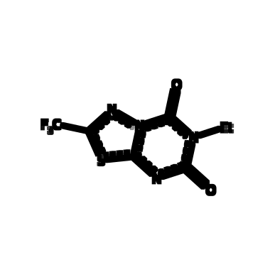 CCn1c(=O)nc2sc(C(F)(F)F)nn2c1=O